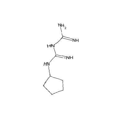 N=C(N)NC(=N)NC1CCCC1